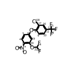 O=[N+]([O-])c1ccc(Oc2ccc(C(F)(F)F)cc2Cl)cc1OC(F)F